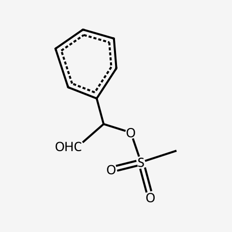 CS(=O)(=O)OC(C=O)c1ccccc1